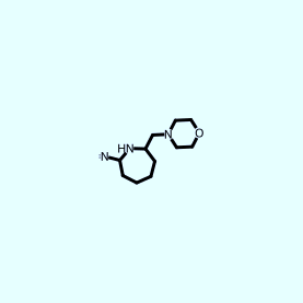 [N]C1CCCCC(CN2CCOCC2)N1